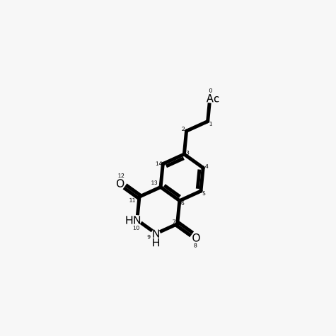 CC(=O)CCc1ccc2c(=O)[nH][nH]c(=O)c2c1